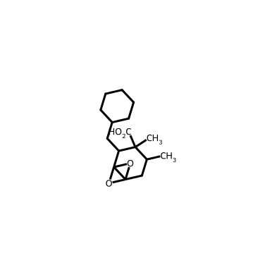 CC1CC23OC2(O3)C(CC2CCCCC2)C1(C)C(=O)O